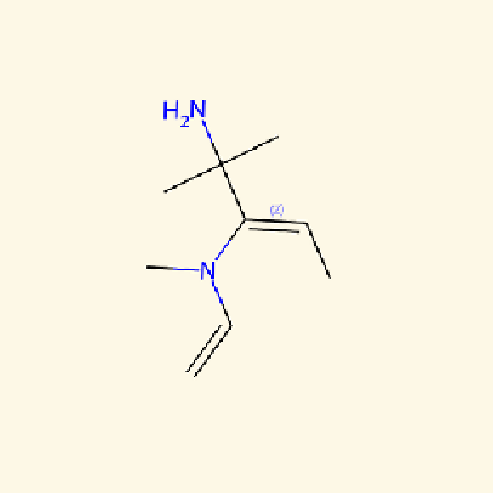 C=CN(C)/C(=C\C)C(C)(C)N